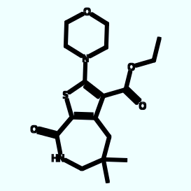 CCOC(=O)c1c(N2CCOCC2)sc2c1CC(C)(C)CNC2=O